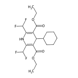 CCOC(=O)C1=C(C(F)F)NC(C(F)F)=C(C(=O)OCC)C1C1CCCCC1